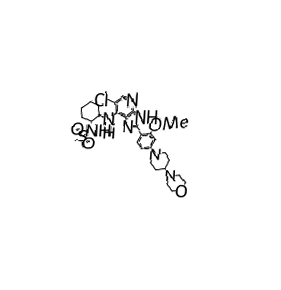 COc1cc(N2CCC(N3CCOCC3)CC2)ccc1-c1nc2c(N[C@@H]3CCCC[C@H]3NS(C)(=O)=O)c(Cl)cnc2[nH]1